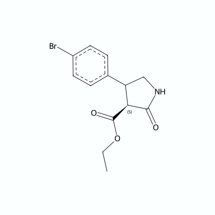 CCOC(=O)[C@@H]1C(=O)NCC1c1ccc(Br)cc1